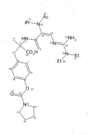 C=C(NC(C)(Cc1ccc(OC(=O)N2CCCC2)cc1)C(=O)O)/C(=C\N=C(/N)N(CC)CC)N(C(C)=O)C(C)C